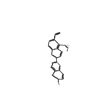 C=Cc1ccc2cc(-c3ccc4cc(I)ccc4c3)ccc2c1/C=C\C